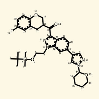 CC(C)(C)[Si](C)(C)OCCn1nc(C(=O)C2COc3ccc(F)cc3C2)c2ccc(-c3cnn(C4CCCCO4)c3)cc21